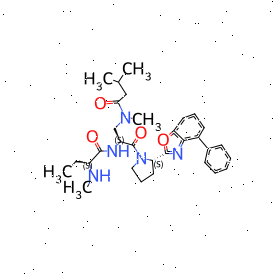 CC[C@H](NC)C(=O)N[C@@H](CN(C)C(=O)CC(C)C)C(=O)N1CCC[C@H]1c1nc2c(-c3ccccc3)cccc2o1